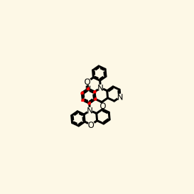 O=C(c1cnccc1N1c2ccccc2OC2C=CC=CC21)C1CN=CC=C1N1c2ccccc2Oc2ccccc21